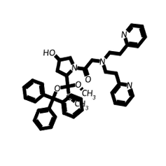 COC(OC)(OC(c1ccccc1)(c1ccccc1)c1ccccc1)C1CC(O)CN1C(=O)CN(CCc1ccccn1)CCc1ccccn1